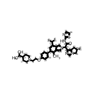 Cc1c(-c2ccc(OCCN3CCC(C(C)O)CC3)cc2)cc(C(F)F)c2cn(C(C(=O)Nc3nccs3)c3ncn4c3C[C@@H](F)C4)nc12